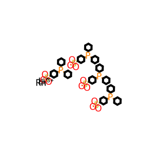 O=S(=O)([O-])c1ccc(P(c2ccccc2)c2ccccc2)cc1.O=S(=O)([O-])c1ccc(P(c2ccccc2)c2ccccc2)cc1.O=S(=O)([O-])c1ccc(P(c2ccccc2)c2ccccc2)cc1.O=S(=O)([O-])c1ccc(P(c2ccccc2)c2ccccc2)cc1.[Li+].[Rh+3]